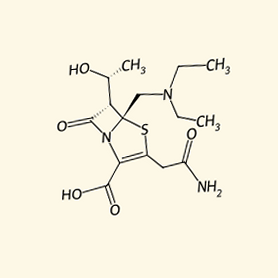 CCN(CC)C[C@@]12SC(CC(N)=O)=C(C(=O)O)N1C(=O)[C@@H]2[C@@H](C)O